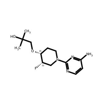 CC(C)(O)CO[C@@H]1CCN(c2nccc(N)n2)C[C@@H]1F